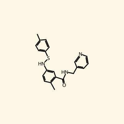 Cc1ccc(SNc2ccc(C)c(C(=O)NCc3cccnc3)c2)cc1